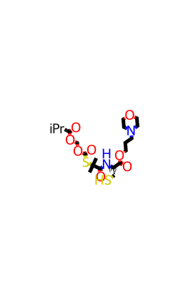 CC(C)C(=O)OCOC(=O)SC(C)(C)C(=O)N[C@@H](CS)C(=O)OCCCN1CCOCC1